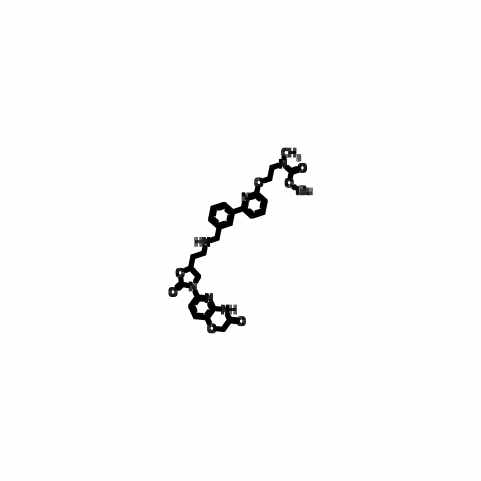 CN(CCOc1cccc(-c2cccc(CNCCC3CN(c4ccc5c(n4)NC(=O)CO5)C(=O)O3)c2)n1)C(=O)OC(C)(C)C